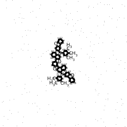 Cc1cc(N(c2ccc3oc4ccccc4c3c2)c2cc3oc4c(ccc5oc6cc(N(c7cc(C)c(C)c(C)c7)c7ccc8oc9ccccc9c8c7)c7ccccc7c6c54)c3c3ccccc23)cc(C)c1C